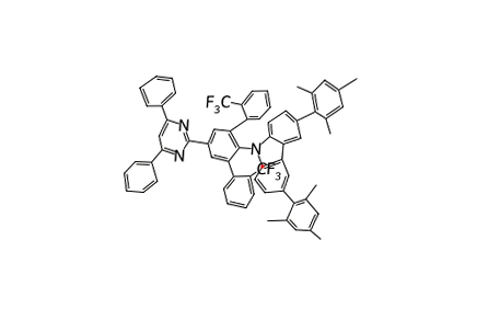 Cc1cc(C)c(-c2ccc3c(c2)c2cc(-c4c(C)cc(C)cc4C)ccc2n3-c2c(-c3ccccc3C(F)(F)F)cc(-c3nc(-c4ccccc4)cc(-c4ccccc4)n3)cc2-c2ccccc2C(F)(F)F)c(C)c1